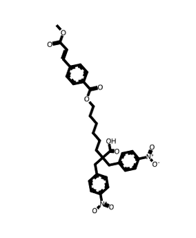 COC(=O)/C=C/c1ccc(C(=O)OCCCCCCC(Cc2ccc([N+](=O)[O-])cc2)(Cc2ccc([N+](=O)[O-])cc2)C(=O)O)cc1